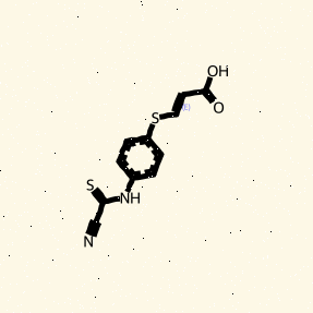 N#CC(=S)Nc1ccc(S/C=C/C(=O)O)cc1